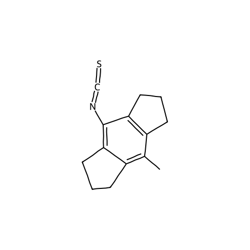 Cc1c2c(c(N=C=S)c3c1CCC3)CCC2